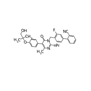 CCCc1nc(C)c(-c2ccc(OC(C)(C)CO)cc2)c(=O)n1Cc1ccc(-c2ccccc2C#N)cc1F